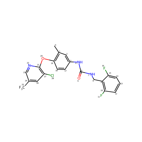 Cc1cc(NC(=O)NCc2c(F)cccc2F)ccc1Oc1ncc(C(F)(F)F)cc1Cl